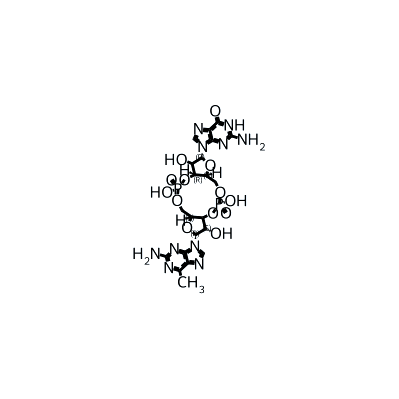 Cc1nc(N)nc2c1ncn2[C@@H]1O[C@@H]2COP(=O)(O)O[C@@H]3C(O)[C@H](n4cnc5c(=O)[nH]c(N)nc54)O[C@@H]3COP(=O)(O)OC2[C@@H]1O